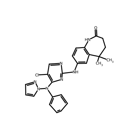 CC1(C)CCC(=O)Nc2ccc(Nc3ncc(Cl)c(N(c4ccccc4)n4cccn4)n3)cc21